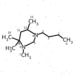 CCCCN1CN(C)C(C)(C)CC1C